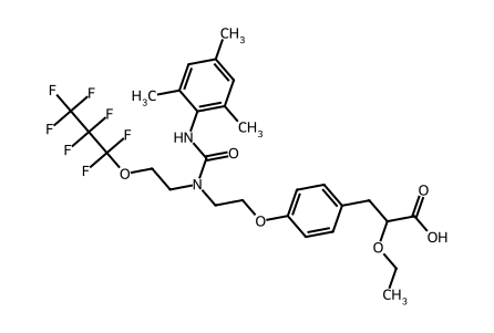 CCOC(Cc1ccc(OCCN(CCOC(F)(F)C(F)(F)C(F)(F)F)C(=O)Nc2c(C)cc(C)cc2C)cc1)C(=O)O